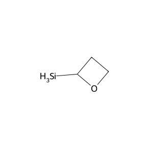 [SiH3]C1CCO1